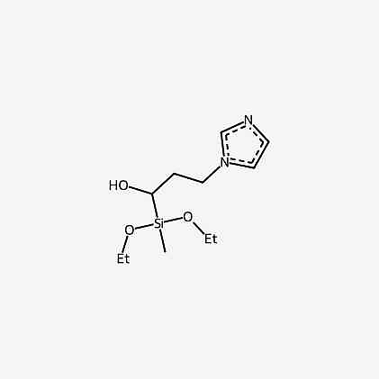 CCO[Si](C)(OCC)C(O)CCn1ccnc1